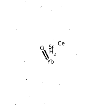 [Ce].[O]=[Yb].[SrH2]